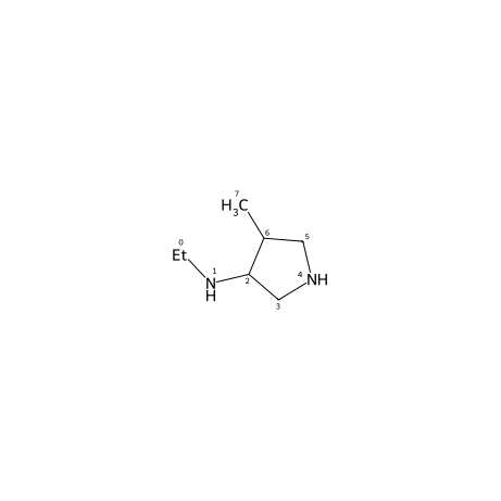 CCNC1CNCC1C